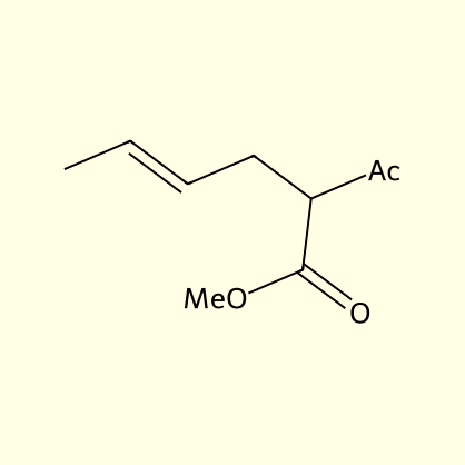 CC=CCC(C(C)=O)C(=O)OC